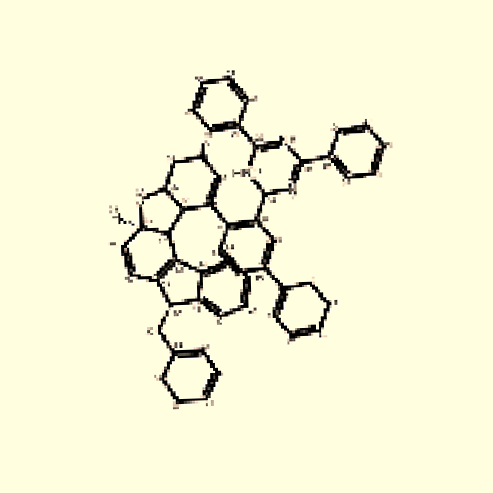 CC1C=C(c2ccc(C3=CC=CCC3)cc2C2N=C(c3ccccc3)N=C(c3ccccc3)N2)C2C(C1)O[C@@H]1C=CC3=C(c4ccccc4[C@H]3CC3=CC=CCC3)C21